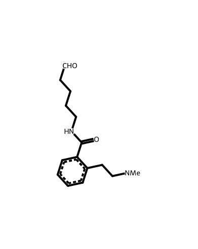 CNCCc1ccccc1C(=O)NCCCCC=O